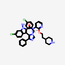 C[C@@H](c1ccc(Cl)cc1)n1cnc(-c2ccccc2)c1-c1c(C(=O)Nc2cccnc2OCCC2CCNCC2)n(N)c2cc(Cl)ccc12